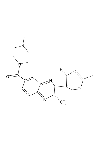 CN1CCN(C(=O)c2ccc3nc(C(F)(F)F)c(-c4ccc(F)cc4F)nc3c2)CC1